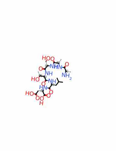 CC(C)C[C@H](NC(=O)[C@@H](NC(=O)[C@H](CO)NC(=O)[C@H](C)NC(=O)[C@H](C)N)[C@@H](C)O)C(=O)N[C@@H](CC(=O)O)C(=O)O